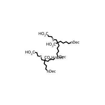 CCCCCCCCCCCCCC(CCCCCCCCCCCCC)(CSCCC(=O)O)C(=O)O.CCCCCCCCCCCCCCC(CCCCCCCCCCCCCC)(CSCCC(=O)O)C(=O)O